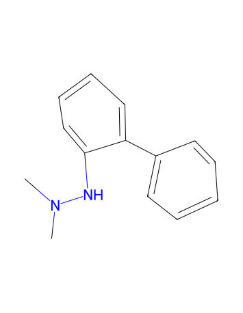 CN(C)Nc1ccccc1-c1ccccc1